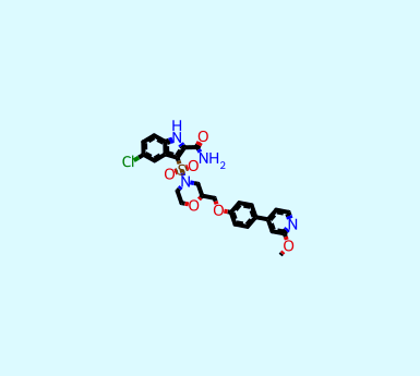 COc1cc(-c2ccc(OCC3CN(S(=O)(=O)c4c(C(N)=O)[nH]c5ccc(Cl)cc45)CCO3)cc2)ccn1